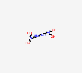 OCCN(CCO)CCCNCCNCCCN(CCO)CCO